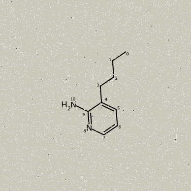 CCCCc1cccnc1N